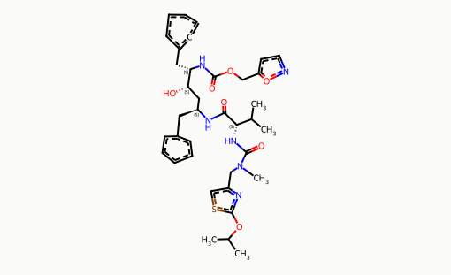 CC(C)Oc1nc(CN(C)C(=O)N[C@H](C(=O)N[C@@H](Cc2ccccc2)C[C@H](O)[C@H](Cc2ccccc2)NC(=O)OCc2ccno2)C(C)C)cs1